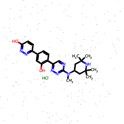 CN(c1ncc(-c2ccc(-c3ccc(O)nn3)cc2O)nn1)C1CC(C)(C)NC(C)(C)C1.Cl